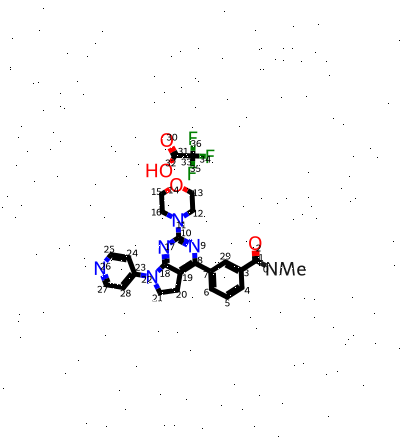 CNC(=O)c1cccc(-c2nc(N3CCOCC3)nc3c2CCN3c2ccncc2)c1.O=C(O)C(F)(F)F